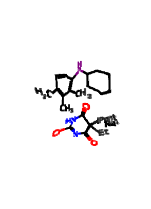 CCCC(C)C1(CC)C(=O)N=C([O-])NC1=O.Cc1ccc(PC2CCCCC2)c(C)c1C.[Na+]